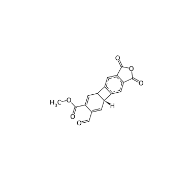 COC(=O)C1=CC2c3cc4c(cc3[C@@H]2C=C1C=O)C(=O)OC4=O